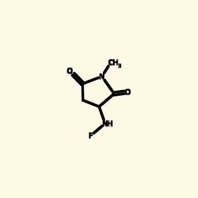 CN1C(=O)CC(NF)C1=O